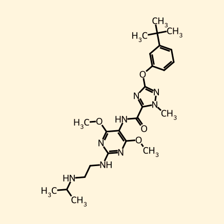 COc1nc(NCCNC(C)C)nc(OC)c1NC(=O)c1nc(Oc2cccc(C(C)(C)C)c2)nn1C